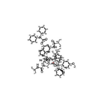 COc1ccc(C(OC[C@@]23CN(C(=O)NC(C)C)[C@@H]([C@H](n4cnc5c(OC(=O)N(c6ccccc6)c6ccccc6)nc(NC(=O)C(C)C)nc54)O2)[C@@H]3OP(OCCC#N)N(C(C)C)C(C)C)(c2ccccc2)c2ccc(OC)cc2)cc1